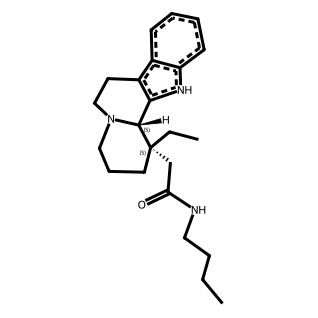 CCCCNC(=O)C[C@]1(CC)CCCN2CCc3c([nH]c4ccccc34)[C@@H]21